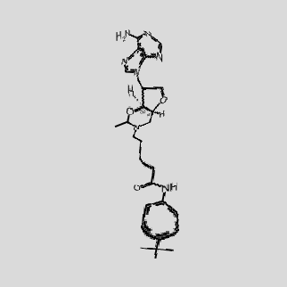 CC1O[C@H]2C(n3cnc4c(N)ncnc43)CO[C@@H]2CN1CCCCC(=O)Nc1ccc(C(C)(C)C)cc1